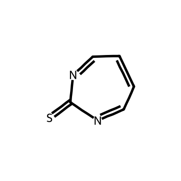 S=c1nccccn1